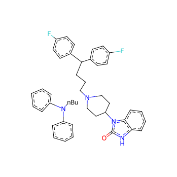 CCCCN(c1ccccc1)c1ccccc1.O=c1[nH]c2ccccc2n1C1CCN(CCCC(c2ccc(F)cc2)c2ccc(F)cc2)CC1